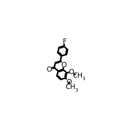 COc1ccc2c(=O)cc(-c3ccc(F)cc3)oc2c1OC